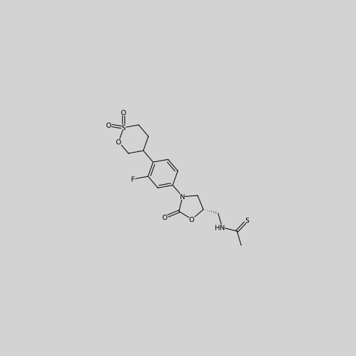 CC(=S)NC[C@H]1CN(c2ccc(C3CCS(=O)(=O)OC3)c(F)c2)C(=O)O1